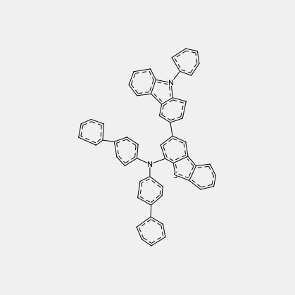 c1ccc(-c2ccc(N(c3ccc(-c4ccccc4)cc3)c3cc(-c4ccc5c(c4)c4ccccc4n5-c4ccccc4)cc4c3sc3ccccc34)cc2)cc1